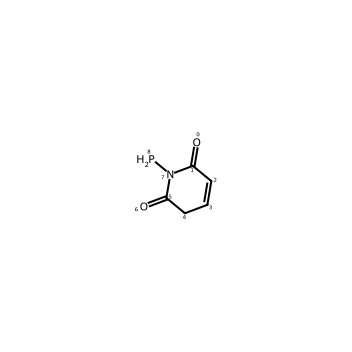 O=C1C=CCC(=O)N1P